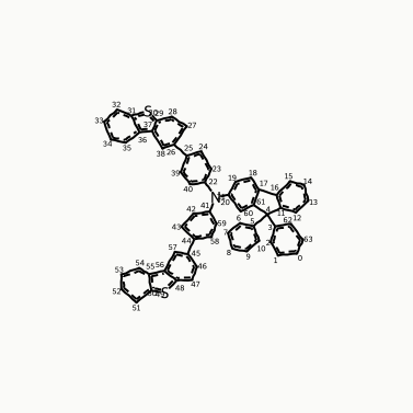 c1ccc(C2(c3ccccc3)c3ccccc3-c3ccc(N(c4ccc(-c5ccc6sc7ccccc7c6c5)cc4)c4ccc(-c5ccc6sc7ccccc7c6c5)cc4)cc32)cc1